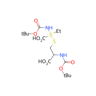 CCS(NC(=O)OC(C)(C)C)(SCC(NC(=O)OC(C)(C)C)C(=O)O)C(=O)O